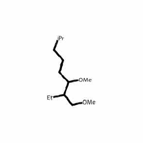 CCC([CH]OC)C(CCCC(C)C)OC